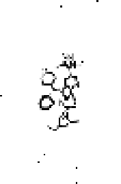 CCC1CC(C)N(c2ccc3c4ncc(-c5c(C)nnn5C)cc4n([C@H](c4ccccc4)C4CCOCC4)c3n2)C1